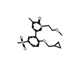 COCCn1cc(-c2cc(S(C)(=O)=O)ccc2OCC2CC2)cc(C)c1=O